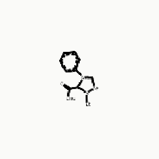 CCN1NCN(c2ccccc2)C1C(=O)C=O